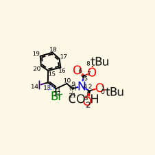 CC(C)(C)OC(=O)N(C(=O)OC(C)(C)C)[C@@H](C/C(Br)=C(/I)c1ccccc1)C(=O)O